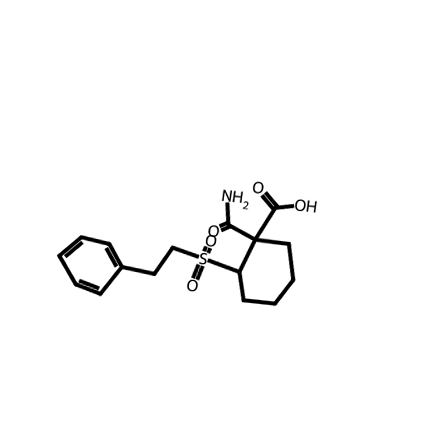 NC(=O)C1(C(=O)O)CCCCC1S(=O)(=O)CCc1ccccc1